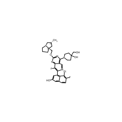 CCc1c(F)ccc2cc(O)cc(-c3ncc4c(N5CCC(O)(CO)CC5)nc(OC[C@@]56CCCN5C[C@H](C)C6)nc4c3F)c12